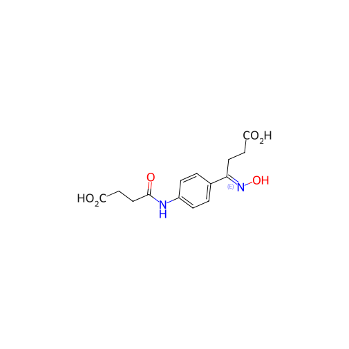 O=C(O)CCC(=O)Nc1ccc(/C(CCC(=O)O)=N/O)cc1